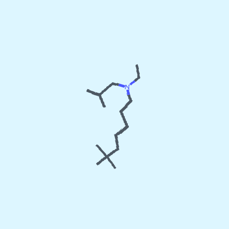 CCN(CCCCCC(C)(C)C)CC(C)C